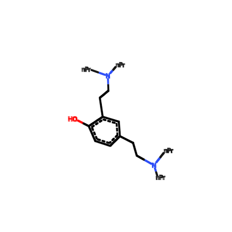 CCCN(CCC)CCc1ccc(O)c(CCN(CCC)CCC)c1